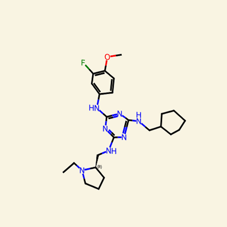 CCN1CCC[C@@H]1CNc1nc(NCC2CCCCC2)nc(Nc2ccc(OC)c(F)c2)n1